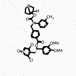 COc1ccc([C@H](Cc2c(Cl)c[n+]([O-])cc2Cl)OC(=O)c2ccc(CN(C(=O)O[C@H]3CN4CCC3CC4)c3cccc(C)c3)cc2)cc1OC